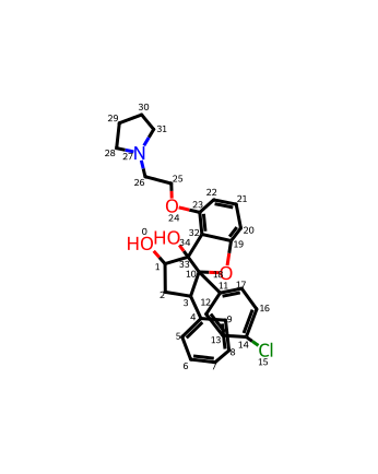 OC1CC(c2ccccc2)C2(c3ccc(Cl)cc3)Oc3cccc(OCCN4CCCC4)c3C12O